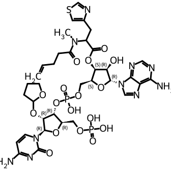 C=CCCC(=O)N(C)C(Cc1cscn1)C(=O)O[C@H]1[C@@H](O)[C@H](n2cnc3c(N)ncnc32)O[C@H]1COP(=O)(O)O[C@H]1[C@@H](OC2CCCO2)[C@H](n2ccc(N)nc2=O)O[C@@H]1COP(=O)(O)O